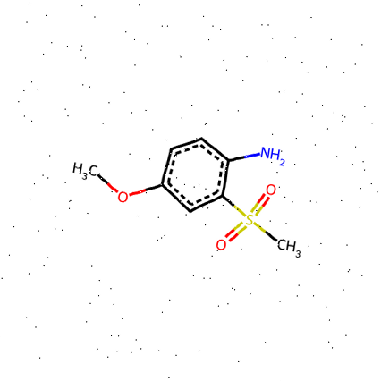 COc1ccc(N)c(S(C)(=O)=O)c1